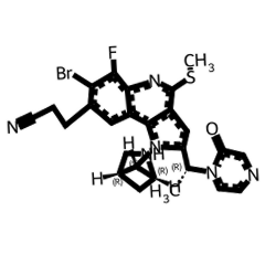 CSc1nc2c(F)c(Br)c(CCC#N)cc2c2c1cc([C@@H](C)n1ccncc1=O)n2[C@H]1[C@H]2CN[C@@H]1C2